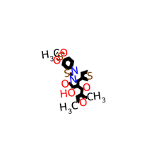 Cc1cc(C(=O)C2=C(O)C(=O)N(c3nc4ccc(S(C)(=O)=O)cc4s3)C2c2ccsc2)c(C)o1